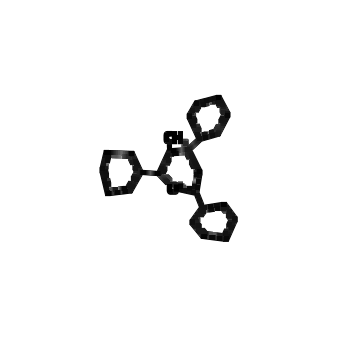 Cc1c(-c2ccccc2)cc(-c2ccccc2)[o+]c1-c1ccccc1